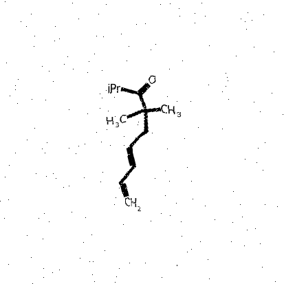 C=CC=CCC(C)(C)C(=O)C(C)C